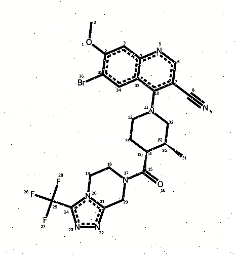 COc1cc2ncc(C#N)c(N3CC[C@H](C(=O)N4CCn5c(nnc5C(F)(F)F)C4)[C@H](C)C3)c2cc1Br